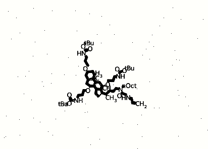 C=CCNCC(=O)N(CCCCCCCC)CCC[C@@H](C)[C@H]1CCC2C3C(C[C@H](OCCCNC(=O)OC(C)(C)C)[C@@]21C)[C@@]1(C)CC[C@@H](OCCCNC(=O)OC(C)(C)C)CC1C[C@H]3OCCCNC(=O)OC(C)(C)C